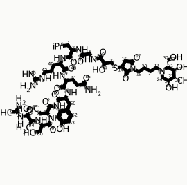 CC(C)CC(NC(=O)CNC(=O)C(O)CSC1CC(=O)N(CCCCN2C[C@H](O)[C@@H](C)[C@@H](O)[C@H]2CO)C1=O)C(=O)NC(CCCNC(=N)N)C(=O)NC(CCC(N)=O)C(=O)NC(Cc1ccc(O)cc1)C(=O)NC(=O)C(CC(=O)O)NC(=O)C(CO)NC(C)C(=O)NC(N)C=O